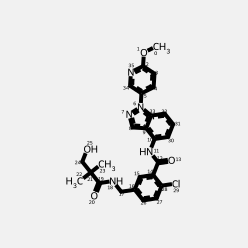 COc1ccc(-n2ncc3c(NC(=O)c4cc(CNC(=O)C(C)(C)CO)ccc4Cl)cccc32)cn1